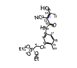 CCOP(=O)(COc1cc(NC(=O)/C(C#N)=C(\C)O)ccc1C)OCC